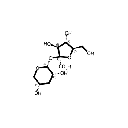 O=C(O)[C@@]1(O[C@H]2OC[C@@H](O)C[C@H]2O)O[C@H](CO)[C@@H](O)[C@@H]1O